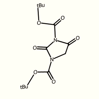 CC(C)(C)OC(=O)N1CC(=O)N(C(=O)OC(C)(C)C)C1=O